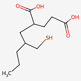 CCCC(CS)CC(CCC(=O)O)C(=O)O